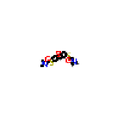 CCN(CC)CC(=O)Sc1ccc2c(c1)Cc1cc(SC(=O)CN(CC)CC)ccc1O2